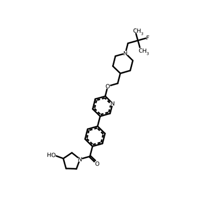 CC(C)(F)CN1CCC(COc2ccc(-c3ccc(C(=O)N4CCC(O)C4)cc3)cn2)CC1